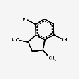 CC(C)c1ccc(C#N)c2c1C(C)CC2C